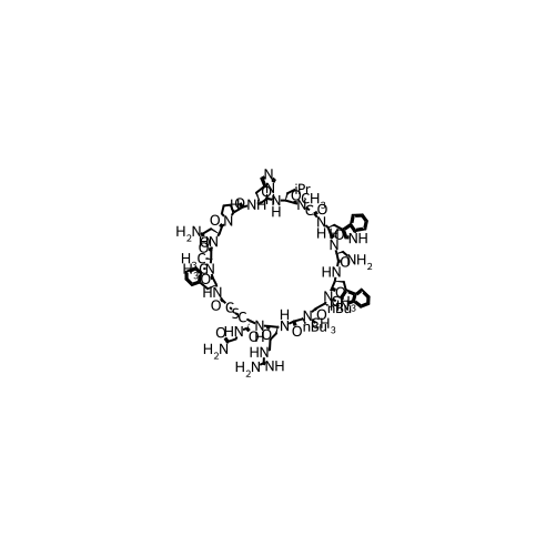 CCCC[C@H]1C(=O)N(C)[C@@H](CCCC)C(=O)N[C@@H](CCCNC(=N)N)C(=O)N[C@H](C(=O)NCC(N)=O)CSCC(=O)N[C@@H](Cc2ccccc2)C(=O)N(C)[C@@H](C)C(=O)N[C@@H](CC(N)=O)C(=O)N2CCC[C@H]2C(=O)N[C@@H](Cc2cnc[nH]2)C(=O)N[C@@H](CC(C)C)C(=O)N(C)CC(=O)N[C@@H](Cc2c[nH]c3ccccc23)C(=O)N[C@@H](CN)C(=O)N[C@@H](Cc2c[nH]c3ccccc23)C(=O)N1C